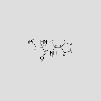 CC(C)CC1NCC(C2CCCC2)NC1=O